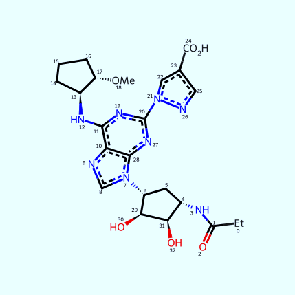 CCC(=O)N[C@H]1C[C@@H](n2cnc3c(N[C@H]4CCC[C@@H]4OC)nc(-n4cc(C(=O)O)cn4)nc32)[C@H](O)[C@@H]1O